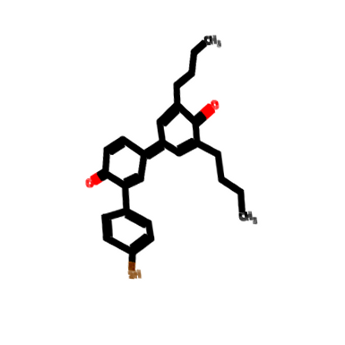 CCCCC1=CC(=C2C=CC(=O)C(c3ccc(S)cc3)=C2)C=C(CCCC)C1=O